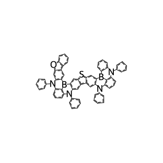 c1ccc(N2c3ccccc3B3c4cc5sc6cc7c(cc6c5cc4N(c4ccccc4)c4cccc2c43)N(c2ccccc2)c2cccc3c2B7c2cc4c(cc2N3c2ccccc2)oc2ccccc24)cc1